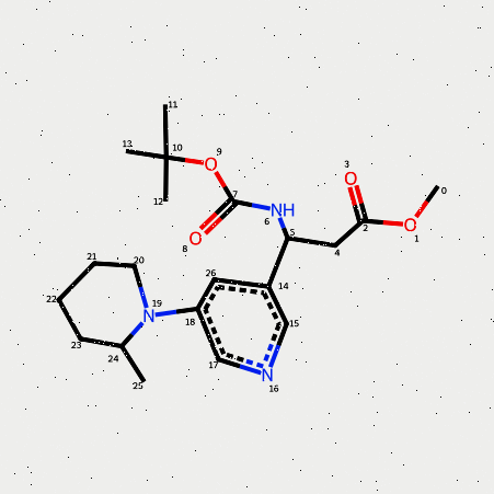 COC(=O)CC(NC(=O)OC(C)(C)C)c1cncc(N2CCCCC2C)c1